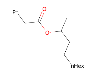 CCCCCCCCC(C)OC(=O)CC(C)C